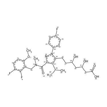 COc1ccc(F)c(F)c1CN(C)C(=O)c1nn(-c2ccc(F)cc2)c(CCC(O)CC(O)CC(=O)O)c1C(C)C